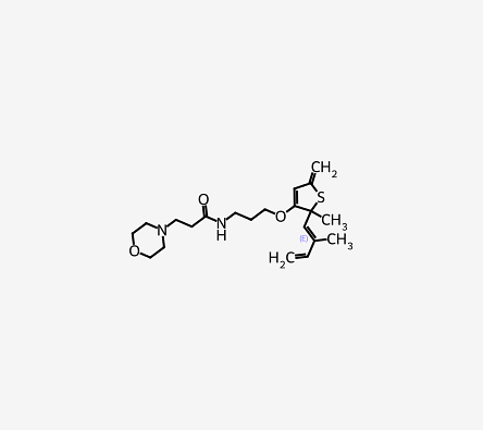 C=C/C(C)=C/C1(C)SC(=C)C=C1OCCCNC(=O)CCN1CCOCC1